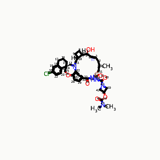 C[C@H]1C/C=C/[C@H](O)[C@@H]2CC[C@H]2CN2C[C@@]3(CCCc4cc(Cl)ccc43)COc3ccc(cc32)C(=O)N=[S@](=O)(NC(=O)N2CC(OC(=O)N(C)C)C2)C1